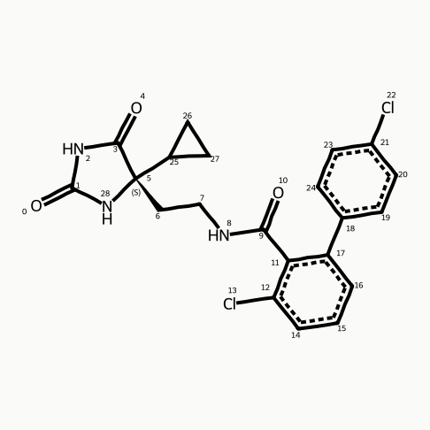 O=C1NC(=O)[C@](CCNC(=O)c2c(Cl)cccc2-c2ccc(Cl)cc2)(C2CC2)N1